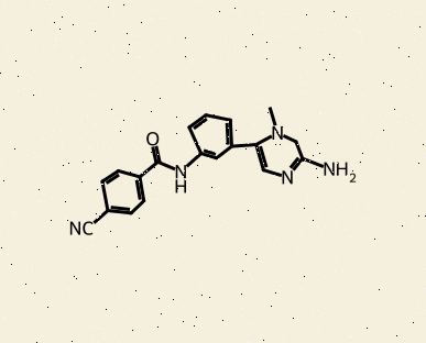 CN1CC(N)=NC=C1c1cccc(NC(=O)c2ccc(C#N)cc2)c1